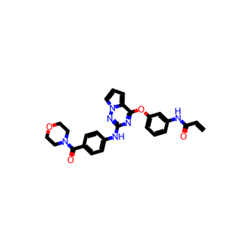 C=CC(=O)Nc1cccc(Oc2nc(Nc3ccc(C(=O)N4CCOCC4)cc3)nn3cccc23)c1